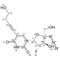 [N-]=[N+]=N[C@]1(CO)O[C@@H](n2cc(C#CCCO)c(=O)[nH]c2=O)[C@@H](F)[C@@H]1O